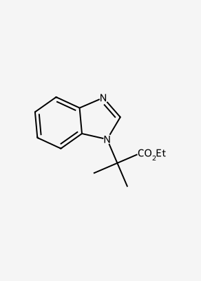 CCOC(=O)C(C)(C)n1cnc2ccccc21